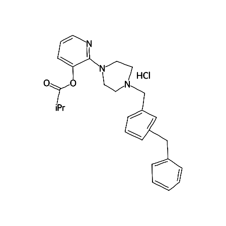 CC(C)C(=O)Oc1cccnc1N1CCN(Cc2cccc(Cc3ccccc3)c2)CC1.Cl